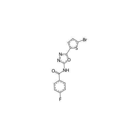 O=C(Nc1nnc(-c2ccc(Br)s2)o1)c1ccc(F)cc1